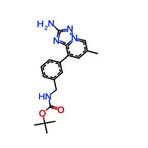 Cc1cc(-c2cccc(CNC(=O)OC(C)(C)C)c2)c2nc(N)nn2c1